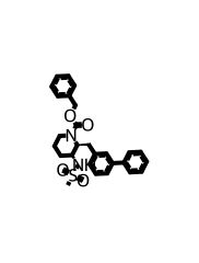 CS(=O)(=O)N[C@H]1CCCN(C(=O)OCc2ccccc2)[C@H]1Cc1cccc(-c2ccccc2)c1